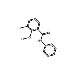 O=C(Nc1ccccc1)c1cccc(Cl)c1OCl